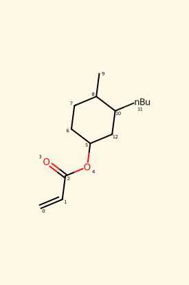 C=CC(=O)OC1CCC(C)C(CCCC)C1